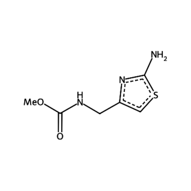 COC(=O)NCc1csc(N)n1